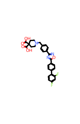 O=C(O)C1(C(=O)O)CCN(Cc2ccc(-c3noc(-c4ccc(-c5ccc(F)cc5F)cc4)n3)cc2)CC1